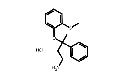 CSc1ccccc1OC(C)(CCN)c1ccccc1.Cl